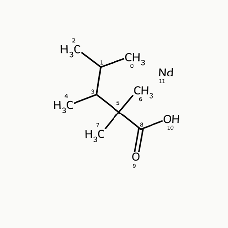 CC(C)C(C)C(C)(C)C(=O)O.[Nd]